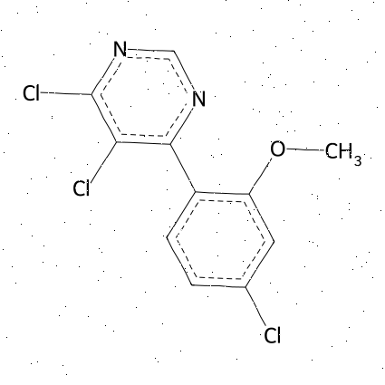 COc1cc(Cl)ccc1-c1ncnc(Cl)c1Cl